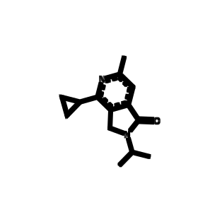 Cc1cc2c(c(C3CC3)n1)CN(C(C)C)C2=O